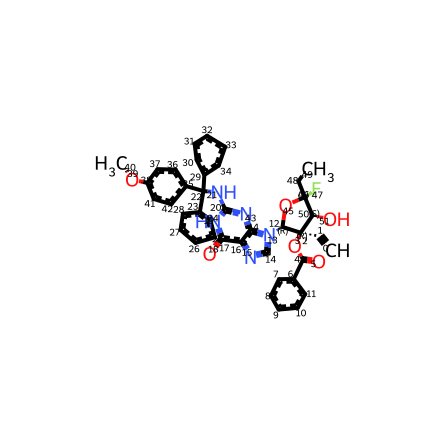 C#C[C@]1(OC(=O)c2ccccc2)[C@H](n2cnc3c(=O)[nH]c(NC(c4ccccc4)(c4ccccc4)c4ccc(OC)cc4)nc32)O[C@](F)(CC)[C@H]1O